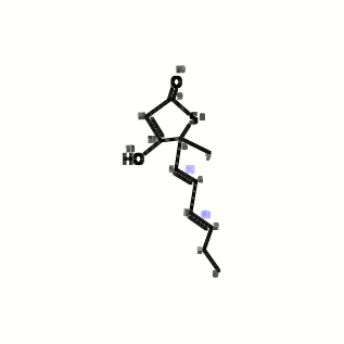 CC/C=C/C=C/C1(C)SC(=O)C=C1O